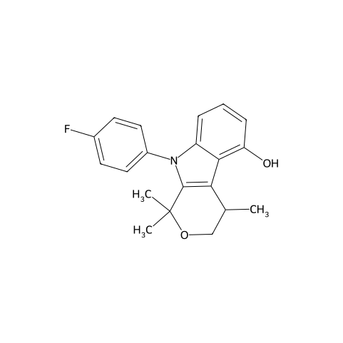 CC1COC(C)(C)c2c1c1c(O)cccc1n2-c1ccc(F)cc1